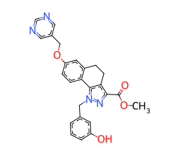 COC(=O)c1nn(Cc2cccc(O)c2)c2c1CCc1cc(OCc3cncnc3)ccc1-2